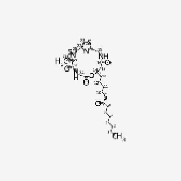 CCCCCCCC(=O)SCCCC[C@@H]1CC(=O)NCc2nc(cs2)C2=N[C@@](C)(CS2)C(=O)NCC(=O)O1